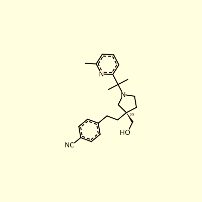 Cc1cccc(C(C)(C)N2CC[C@](CO)(CCc3ccc(C#N)cc3)C2)n1